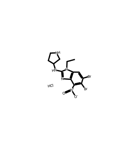 CCn1c(NC2CCNC2)nc2c([N+](=O)[O-])c(Br)c(Br)cc21.Cl